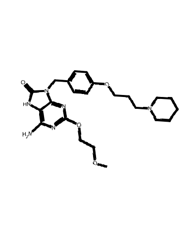 COCCOc1nc(N)c2[nH]c(=O)n(Cc3ccc(OCCCN4CCCCC4)cc3)c2n1